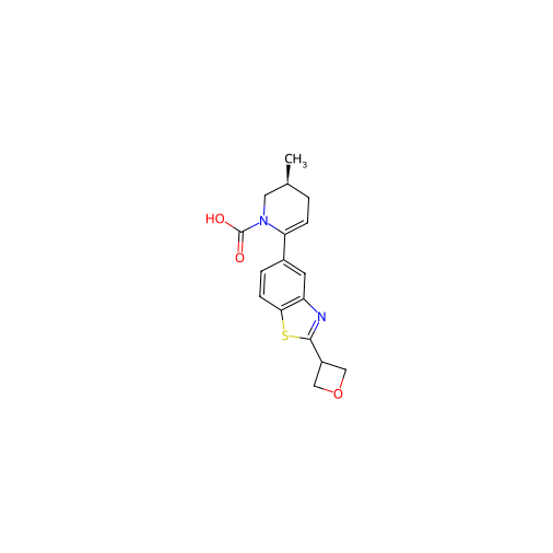 C[C@H]1CC=C(c2ccc3sc(C4COC4)nc3c2)N(C(=O)O)C1